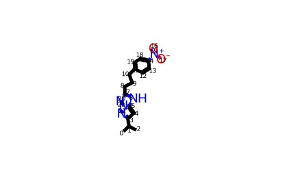 CC(C)c1cc2[nH]c(CCCc3ccc([N+](=O)[O-])cc3)nn2n1